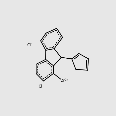 [Cl-].[Cl-].[Zr+2][c]1cccc2c1C(C1=CC=CC1)c1ccccc1-2